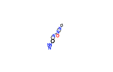 O=C(CN1CCc2cc(-n3cncn3)ccc2C1)N1CCN(C2CCC2)CC1